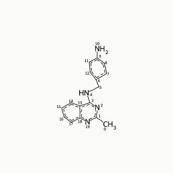 Cc1nc(NCc2ccc(N)cc2)c2ccccc2n1